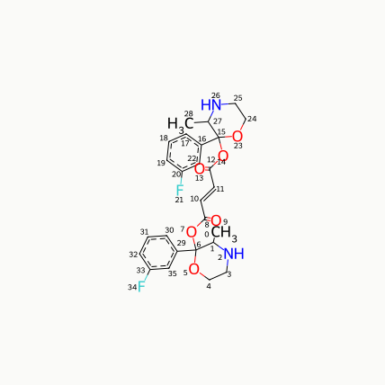 CC1NCCOC1(OC(=O)/C=C/C(=O)OC1(c2cccc(F)c2)OCCNC1C)c1cccc(F)c1